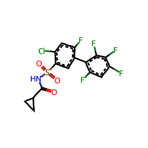 O=C(NS(=O)(=O)c1cc(-c2c(F)cc(F)c(F)c2F)c(F)cc1Cl)C1CC1